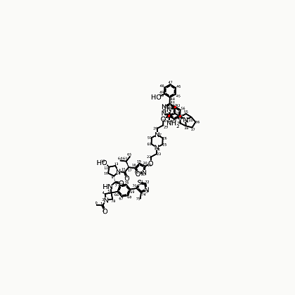 CC(=O)N1CC(NC(=O)[C@@H]2C[C@@H](O)CN2C(=O)[C@H](c2cc(OCCN3CCN(CCOc4cc(N5C6CCC5CN(c5cc(-c7ccccc7O)nnc5N)C6)ccn4)CC3)no2)C(C)C)(c2ccc(-c3scnc3C)cc2)C1